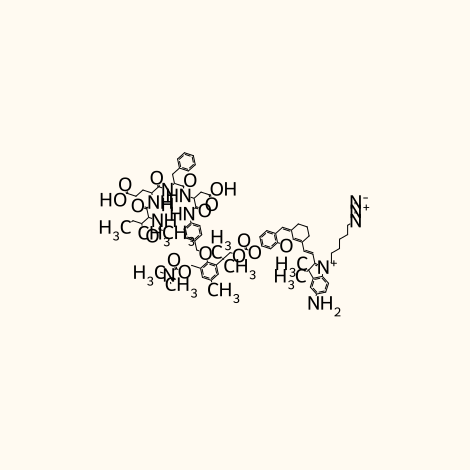 CCC(C)C(NC(C)=O)C(=O)NC(CCC(=O)O)C(=O)NC(Cc1ccccc1)C(=O)NC(CC(=O)O)C(=O)Nc1ccc(COc2c(COC(=O)N(C)C)cc(C)cc2C(C)(C)COC(=O)Oc2ccc3c(c2)OC2=C(/C=C/C4=[N+](CCCCCCN=[N+]=[N-])c5ccc(N)cc5C4(C)C)CCCC2=C3)cc1